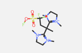 CN1CC[N+](C)=C1C(C)(CC(F)(F)S(=O)(=O)OF)C1=[N+](C)CCN1C